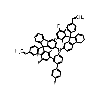 C=Cc1ccc(C2(c3c(F)c(F)cc(F)c3F)C3=C(CCC=C3)c3ccc(N(c4ccc(-c5ccc(F)cc5)cc4)c4ccc5c(c4)C(c4ccc(C=C)cc4)(c4c(F)c(F)cc(F)c4F)c4ccccc4-5)cc32)cc1